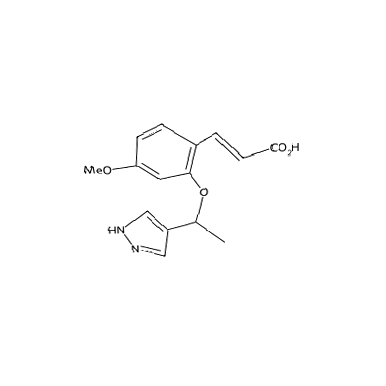 COc1ccc(C=CC(=O)O)c(OC(C)c2cn[nH]c2)c1